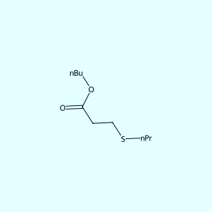 [CH2]CCSCCC(=O)OCCCC